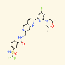 C[C@@H]1CN(c2cc(F)cc(-c3ccc4cnc(CNC(=O)c5cccc(S(=N)(=O)C(F)F)c5)cc4n3)n2)C[C@H](C)O1